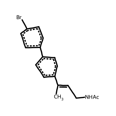 CC(=O)NCC=C(C)c1ccc(-c2ccc(Br)cc2)cc1